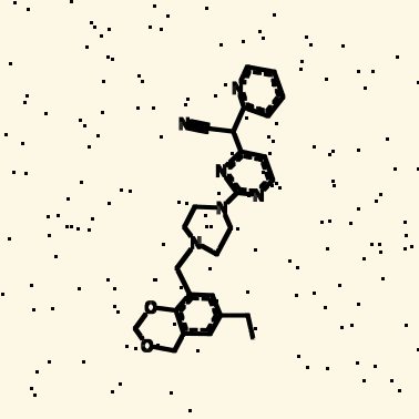 CCc1cc2c(c(CN3CCN(c4nccc(C(C#N)c5ccccn5)n4)CC3)c1)OCOC2